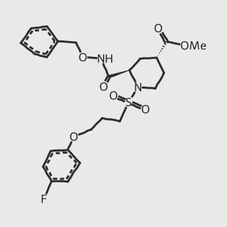 COC(=O)[C@@H]1CCN(S(=O)(=O)CCCOc2ccc(F)cc2)[C@@H](C(=O)NOCc2ccccc2)C1